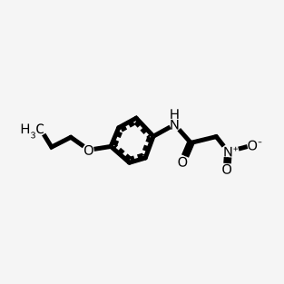 CCCOc1ccc(NC(=O)C[N+](=O)[O-])cc1